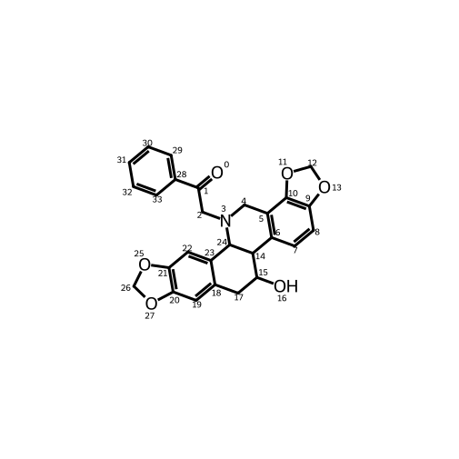 O=C(CN1Cc2c(ccc3c2OCO3)C2C(O)Cc3cc4c(cc3C21)OCO4)c1ccccc1